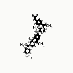 C=C(c1ccc(NC2=NC=CN(/C(=C\C)c3ccc(CC(F)F)cc3)C2=C)cc1C)N1CCN(C(=C)N2CCN(C)CC2)CC1